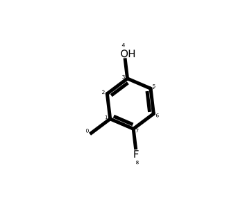 Cc1cc(O)[c]cc1F